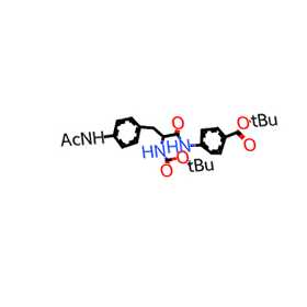 CC(=O)Nc1ccc(CC(NC(=O)OC(C)(C)C)C(=O)Nc2ccc(C(=O)OC(C)(C)C)cc2)cc1